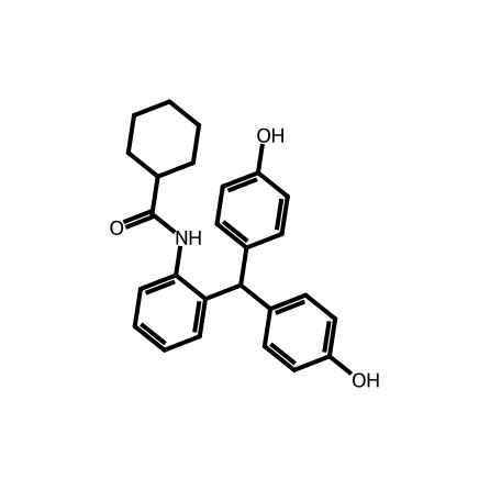 O=C(Nc1ccccc1C(c1ccc(O)cc1)c1ccc(O)cc1)C1CCCCC1